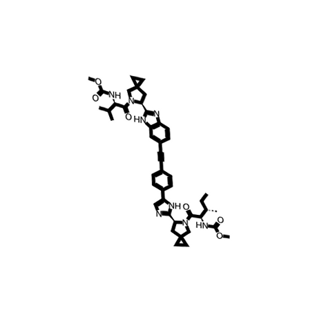 CC[C@H](C)[C@H](NC(=O)OC)C(=O)N1CC2(CC2)C[C@H]1c1ncc(-c2ccc(C#Cc3ccc4nc([C@@H]5CC6(CC6)CN5C(=O)[C@@H](NC(=O)OC)C(C)C)[nH]c4c3)cc2)[nH]1